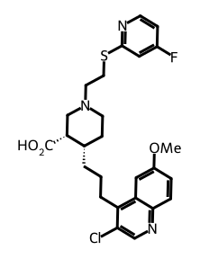 COc1ccc2ncc(Cl)c(CCC[C@H]3CCN(CCSc4cc(F)ccn4)C[C@H]3C(=O)O)c2c1